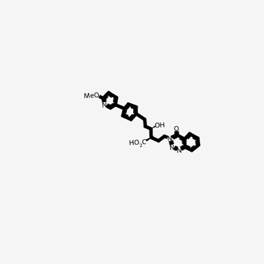 COc1ccc(-c2ccc(CC[C@H](O)[C@@H](CCn3nnc4ccccc4c3=O)C(=O)O)cc2)cn1